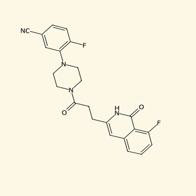 N#Cc1ccc(F)c(N2CCN(C(=O)CCc3cc4cccc(F)c4c(=O)[nH]3)CC2)c1